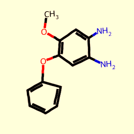 COc1cc(N)c(N)cc1Oc1ccccc1